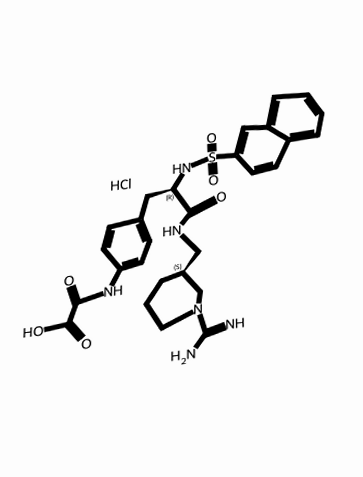 Cl.N=C(N)N1CCC[C@@H](CNC(=O)[C@@H](Cc2ccc(NC(=O)C(=O)O)cc2)NS(=O)(=O)c2ccc3ccccc3c2)C1